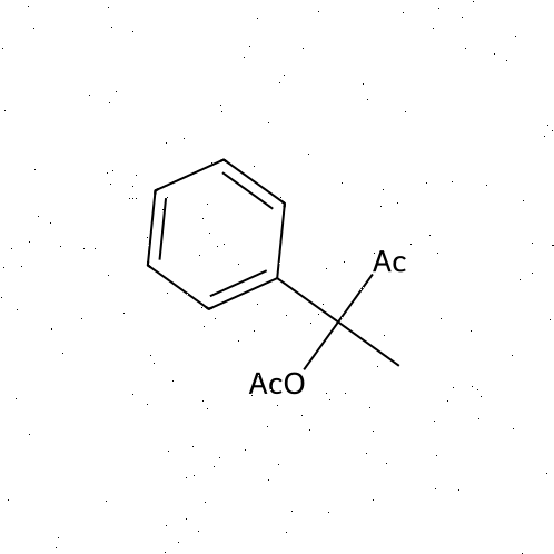 CC(=O)OC(C)(C(C)=O)c1ccccc1